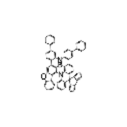 c1ccc(-c2ccc(N3B4c5cccc6c5N(c5ccccc5C65c6ccccc6-c6ccccc65)c5c4c(cc4oc6ccccc6c54)-c4ccc(-c5ccccc5)cc43)cc2)cc1